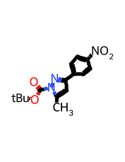 Cc1cc(-c2ccc([N+](=O)[O-])cc2)nn1C(=O)OC(C)(C)C